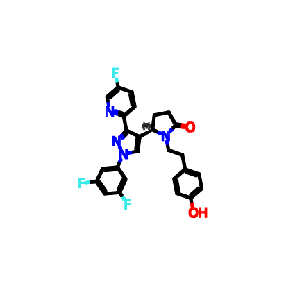 O=C1CC[C@H](c2cn(-c3cc(F)cc(F)c3)nc2-c2ccc(F)cn2)N1CCc1ccc(O)cc1